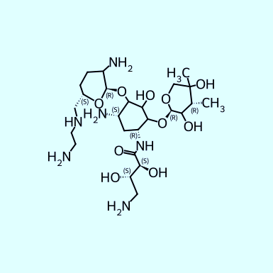 C[C@@H]1C(O)[C@@H](OC2C(O)C(O[C@H]3O[C@H](CNCCN)CCC3N)[C@@H](N)C[C@H]2NC(=O)[C@@H](O)[C@@H](O)CN)OCC1(C)O